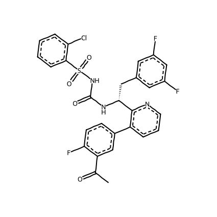 CC(=O)c1cc(-c2cccnc2[C@@H](Cc2cc(F)cc(F)c2)NC(=O)NS(=O)(=O)c2ccccc2Cl)ccc1F